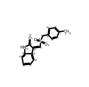 Cc1ccc(CS(=O)(=O)C=C2C(=O)Nc3ccccc32)cc1